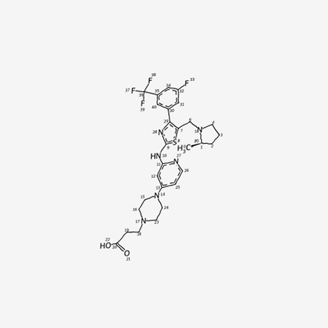 C[C@@H]1CCCN1Cc1sc(Nc2cc(N3CCN(CCC(=O)O)CC3)ccn2)nc1-c1cc(F)cc(C(F)(F)F)c1